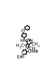 CCOc1ccc(-n2c(C)c3c(C)nnc(Nc4ccc(Oc5ccccc5)cc4)c3c2C)c(OC)c1